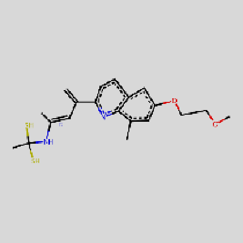 C=C(/C=C(\C)NC(C)(S)S)c1ccc2cc(OCCOC)cc(C)c2n1